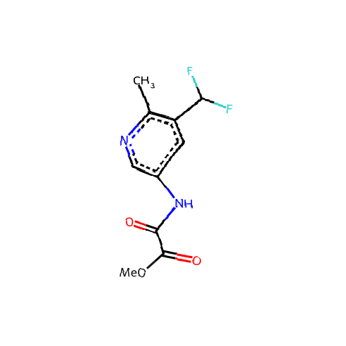 COC(=O)C(=O)Nc1cnc(C)c(C(F)F)c1